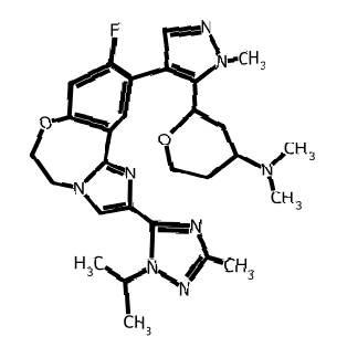 Cc1nc(-c2cn3c(n2)-c2cc(-c4cnn(C)c4C4CC(N(C)C)CCO4)c(F)cc2OCC3)n(C(C)C)n1